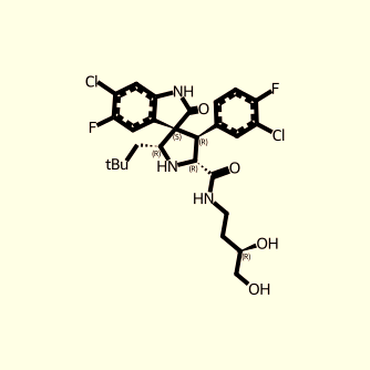 CC(C)(C)C[C@H]1N[C@@H](C(=O)NCC[C@@H](O)CO)[C@H](c2ccc(F)c(Cl)c2)[C@@]12C(=O)Nc1cc(Cl)c(F)cc12